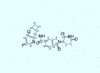 O=C1CCC(N2Cc3cc(C(=O)N[C@H](c4ncc(F)cc4Cl)C4CCC4)ccc3C2=O)C(=O)N1